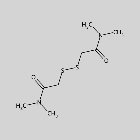 CN(C)C(=O)CSSCC(=O)N(C)C